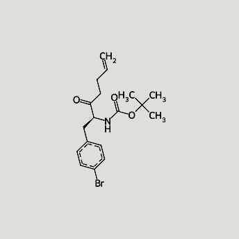 C=CCCC(=O)[C@H](Cc1ccc(Br)cc1)NC(=O)OC(C)(C)C